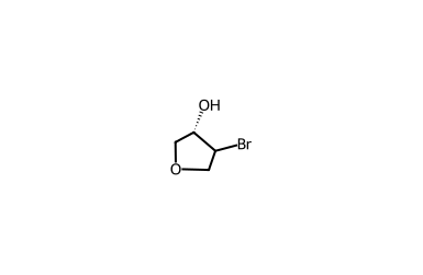 O[C@H]1COCC1Br